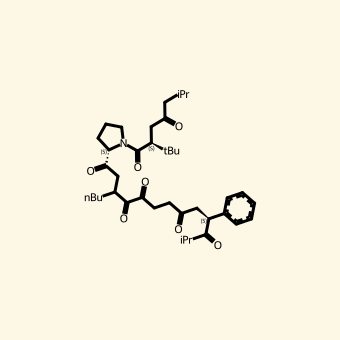 CCCCC(CC(=O)[C@@H]1CCCN1C(=O)[C@@H](CC(=O)CC(C)C)C(C)(C)C)C(=O)C(=O)CCC(=O)C[C@H](C(=O)C(C)C)c1ccccc1